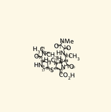 CNC(=O)C(=O)N[C@H](C)[C@H]1C(=O)N2C(C(=O)O)=C(S[C@@H]3CN[C@H](C(=O)N(C)C)C3)[C@H](C)[C@H]12